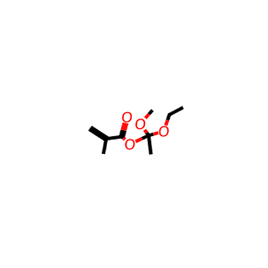 C=C(C)C(=O)OC(C)(OC)OCC